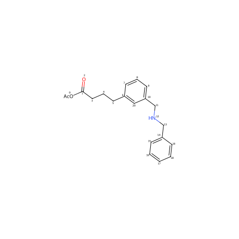 CC(=O)OC(=O)CCCc1cccc(CNCc2ccccc2)c1